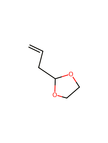 C=CCC1OCCO1